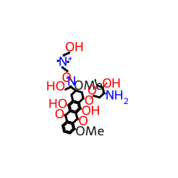 COc1cccc2c1C(=O)c1c(O)c3c(c(O)c1C2=O)C[C@](OC)(/C(CO)=N/OCC[N+](C)(C)CCO)C[C@@H]3O[C@H]1C[C@H](N)[C@H](O)[C@H](C)O1